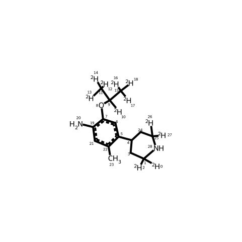 [2H]C1([2H])CC(c2cc(OC([2H])(C([2H])([2H])[2H])C([2H])([2H])[2H])c(N)cc2C)CC([2H])([2H])N1